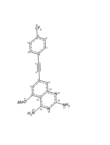 COc1cc(C#Cc2ccc(C(F)(F)F)cc2)cc2nc(N)nc(N)c12